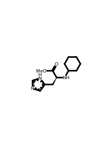 COC(=O)[C@H](Cc1cnc[nH]1)NC1CCCCC1